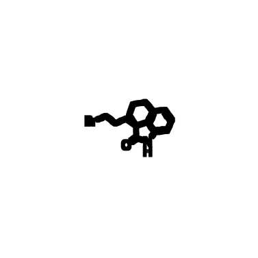 O=C1Nc2cccc3c2C1(CCCBr)CCC3